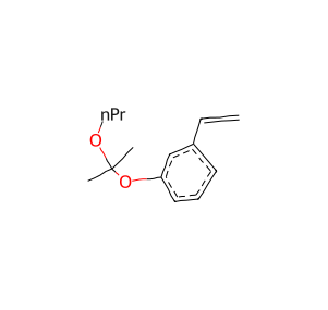 C=Cc1cccc(OC(C)(C)OCCC)c1